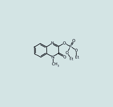 CCOP(=O)(OCC)Oc1nc2ccccc2n(C)c1=O